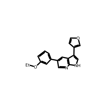 CCOc1cccc(-c2cnc3[nH]cc(-c4ccoc4)c3c2)c1